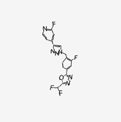 Fc1cc(-c2cn(Cc3ccc(-c4nnc(C(F)F)o4)cc3F)nn2)ccn1